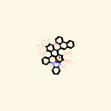 Bc1c(B)c(B)c2c(-c3cc4ccccc4c4ccccc34)c3c(B)c(B)c(B)c(B)c3c(-c3ccccc3N3C(C)=NC4C=CC=CC43)c2c1B